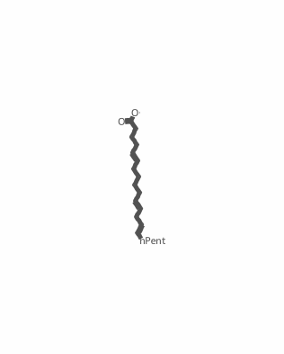 CCCCCC=CCC=CCCCCC=CCCCC([O])=O